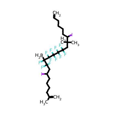 BC(F)(C(F)(F)CC(I)CCCCC(=C)C)C(F)(F)C(F)(F)C(F)(F)C(F)(F)CC(C)(C)C(I)CCCCC=C